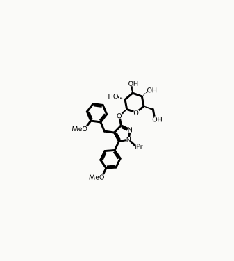 COc1ccc(-c2c(Cc3ccccc3OC)c(O[C@@H]3O[C@H](CO)[C@@H](O)[C@H](O)[C@H]3O)nn2C(C)C)cc1